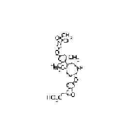 C=C1CC[C@@H](Oc2ccc3c(c2)OC[C@H]3CC(=O)O)C/C(F)=C\C=C/1c1c(C)cc(OC2CN(S(C)(=O)=O)C2)cc1C